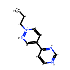 CCC[n+]1ccc(-c2ccncn2)cn1